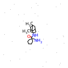 CC12CC3CC(C)(C1)CC(NC(=O)C1(CN)CCCCC1)(C3)C2